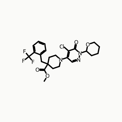 COC(=O)C1(Cc2ccccc2C(F)(F)F)CCN(c2cnn(C3CCCCO3)c(=O)c2Cl)CC1